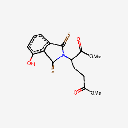 COC(=O)CCC(C(=O)OC)N1C(=S)c2cccc(O)c2C1=S